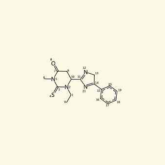 CCN1C(=S)N(C)C(=O)CC1C1=NCC(c2ccccc2)=N1